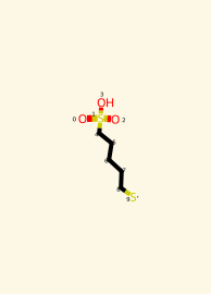 O=S(=O)(O)CCCCC[S]